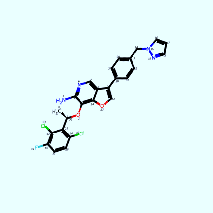 C[C@@H](Oc1c(N)ncc2c(-c3ccc(Cn4cccn4)cc3)coc12)c1c(Cl)ccc(F)c1Cl